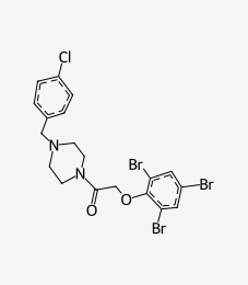 O=C(COc1c(Br)cc(Br)cc1Br)N1CCN(Cc2ccc(Cl)cc2)CC1